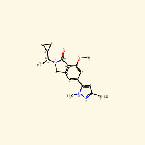 CCOc1cc(-c2cc(NC(C)=O)nn2C)cc2c1C(=O)N([C@@H](C)C1CC1)C2